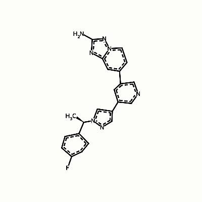 C[C@H](c1ccc(F)cc1)n1cc(-c2cncc(-c3ccn4nc(N)nc4c3)c2)cn1